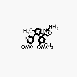 COc1cncc(-c2cc([C@]3(c4ccc(OC)c(C)c4)COC(N)=N3)ccc2C)c1